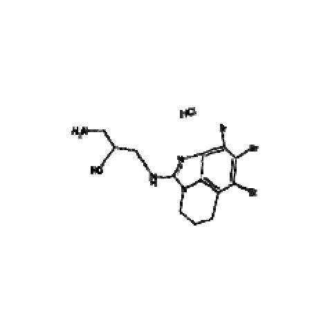 Cl.NCC(O)CNc1nc2c(Br)c(Br)c(Br)c3c2n1CCC3